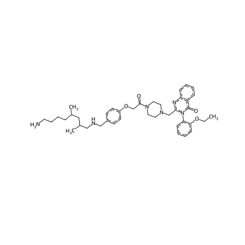 CCOc1ccccc1-n1c(CN2CCN(C(=O)COc3ccc(CNCC(C)CC(C)CCCCN)cc3)CC2)nc2ccccc2c1=O